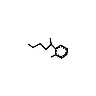 CCCCC(C)c1ccccc1C